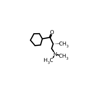 C[C@H](CN(C)C)C(=O)C1CCCCC1